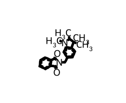 CC1N(C)c2cc(CN3C(=O)c4ccccc4C3=O)ccc2C1(C)C